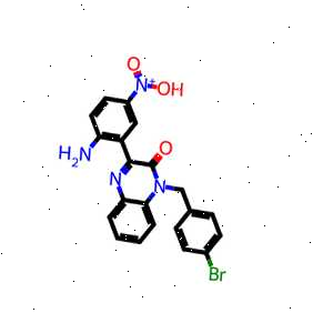 Nc1ccc([N+](=O)O)cc1-c1nc2ccccc2n(Cc2ccc(Br)cc2)c1=O